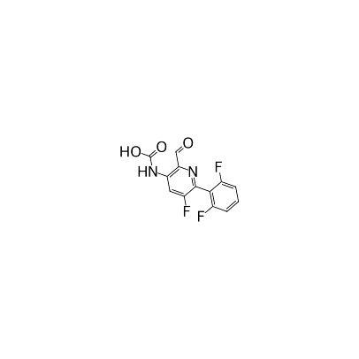 O=Cc1nc(-c2c(F)cccc2F)c(F)cc1NC(=O)O